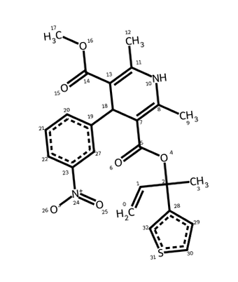 C=CC(C)(OC(=O)C1=C(C)NC(C)=C(C(=O)OC)C1c1cccc([N+](=O)[O-])c1)c1ccsc1